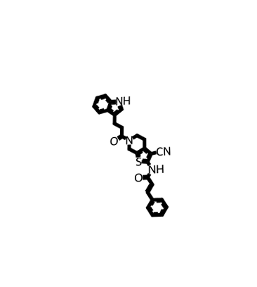 N#Cc1c(NC(=O)C=Cc2ccccc2)sc2c1CCN(C(=O)CCc1c[nH]c3ccccc13)C2